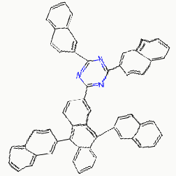 c1ccc2cc(-c3nc(-c4ccc5ccccc5c4)nc(-c4ccc5c(-c6ccc7ccccc7c6)c6ccccc6c(-c6ccc7ccccc7c6)c5c4)n3)ccc2c1